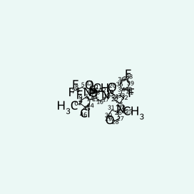 Cc1cc(N(CC(F)(F)F)S(C)(=O)=O)c(C2CCN(C(=O)[C@@H]3CC(N(C)C4CCOCC4)CC3c3ccc(F)cc3F)CC2)cc1Cl